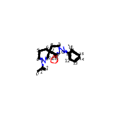 CC(C)N1CCCC2(CCN(c3ccccc3)C2=O)C1